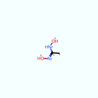 C/C(=N/O)NO